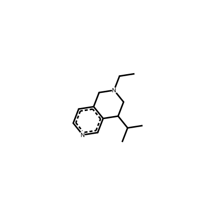 CCN1Cc2ccncc2C(C(C)C)C1